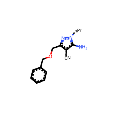 CCCn1nc(COCc2ccccc2)c(C#N)c1N